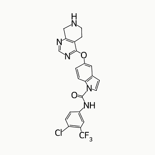 O=C(Nc1ccc(Cl)c(C(F)(F)F)c1)n1ccc2cc(Oc3ncnc4c3CCNC4)ccc21